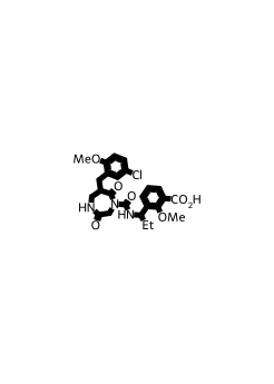 CCC(NC(=O)N1CC(=O)NCC(Cc2cc(Cl)ccc2OC)C1=O)c1cccc(C(=O)O)c1OC